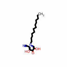 CCCCCCCCCCCCCCn1cc(O)c(=O)c(O)c1C#N